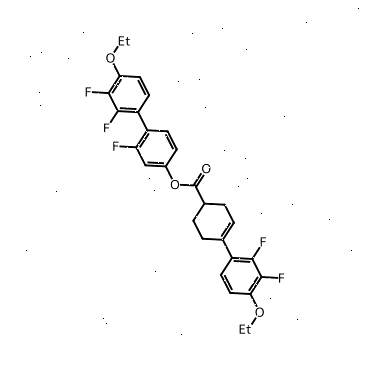 CCOc1ccc(C2=CCC(C(=O)Oc3ccc(-c4ccc(OCC)c(F)c4F)c(F)c3)CC2)c(F)c1F